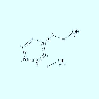 CI.OCCc1ccncc1